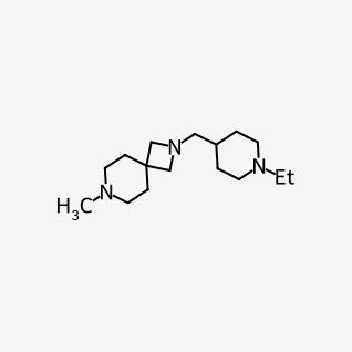 CCN1CCC(CN2CC3(CCN(C)CC3)C2)CC1